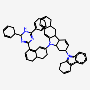 C1=CCC2CC3C(=CC2=C1)N(C1=CC2=C(C4=NC(C5C=CC=CC5)NC(C5=CCCC=C5)=N4)C=CCC2CC1)C1CC(n2c4c(c5ccccc52)C=CCC4)C=CC31